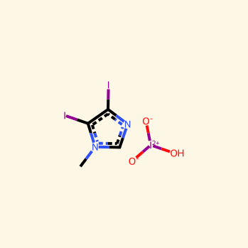 Cn1cnc(I)c1I.[O-][I+2]([O-])O